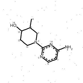 CC1CN(c2nccc(N)n2)CCC1O